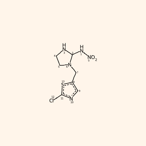 O=[N+]([O-])NC1NCCN1Cc1cnc(Cl)s1